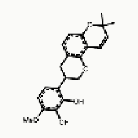 COc1ccc(C2COc3c(ccc4c3C=CC(C)(C)O4)C2)c(O)c1O